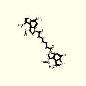 CC1=CSC2C(O)=CC3=C(C12)[C@H](CCl)CN3C(=O)CCCCCC(=O)N1C[C@@H](CCl)c2c1cc(C)c1scc(C)c21